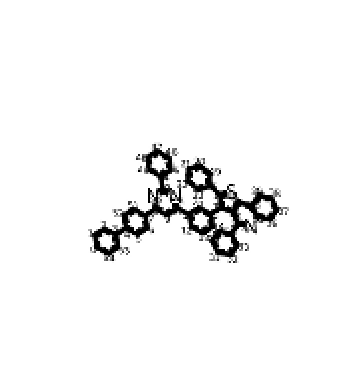 c1ccc(-c2ccc(-c3cc(-c4cccc(-c5c(-c6ccccc6)sc6c5c(-c5ccccc5)nc5ccccc56)c4)nc(-c4ccccc4)n3)cc2)cc1